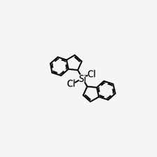 Cl[Si](Cl)(C1C=Cc2ccccc21)C1C=Cc2ccccc21